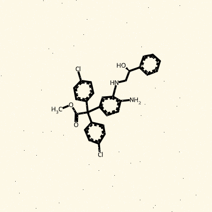 COC(=O)C(c1ccc(Cl)cc1)(c1ccc(Cl)cc1)c1ccc(N)c(NC[C@@H](O)c2ccccc2)c1